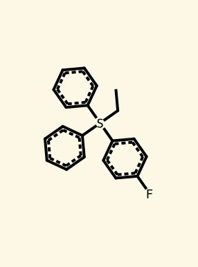 CCS(c1ccccc1)(c1ccccc1)c1ccc(F)cc1